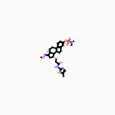 CO/N=C1\C[C@@H](CCC(=O)Nc2ncc(C)s2)C2C3CCc4cc(OS(=O)(=O)N(C)C)ccc4C3CC[C@]12C